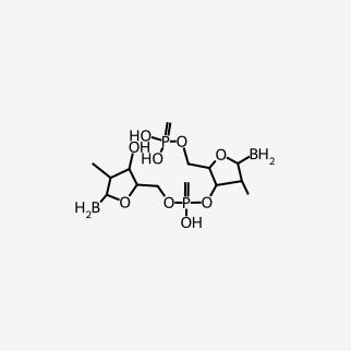 BC1OC(COP(=C)(O)OC2C(COP(=C)(O)O)OC(B)C2C)C(O)C1C